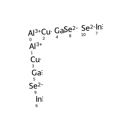 [Al+3].[Al+3].[Cu].[Cu].[Ga].[Ga].[In].[In].[Se-2].[Se-2].[Se-2]